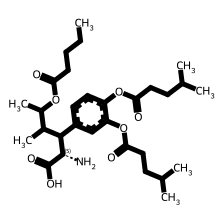 CCCCC(=O)OC(C)C(C)C(c1ccc(OC(=O)CCC(C)C)c(OC(=O)CCC(C)C)c1)[C@H](N)C(=O)O